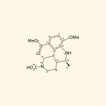 COC(=O)c1ccc(OC)c(N[C@@H](C)C2CCN(C(=O)O)CC2)c1